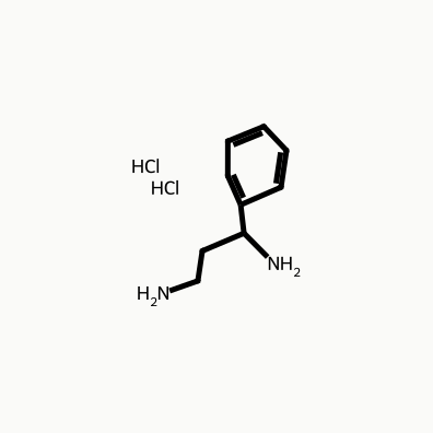 Cl.Cl.NCCC(N)c1ccccc1